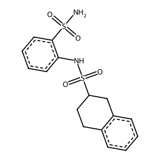 NS(=O)(=O)c1ccccc1NS(=O)(=O)C1CCc2ccccc2C1